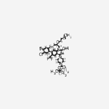 COCCO[C@@H]1CSc2c(-c3cc(Cl)c(F)cc3F)c(C(F)(F)F)cc3c2N(C1)C(O)N=C3N1CCN(C(=O)OC(C)(C)C)CC1